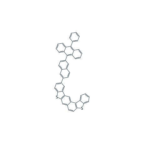 c1ccc(-c2c3ccccc3c(-c3ccc4cc(-c5ccc6sc7cc8ccc9sc%10ccccc%10c9c8cc7c6c5)ccc4c3)c3ccccc23)cc1